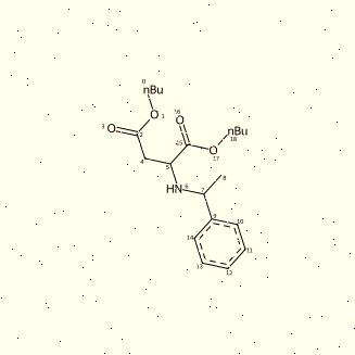 CCCCOC(=O)CC(NC(C)c1ccccc1)C(=O)OCCCC